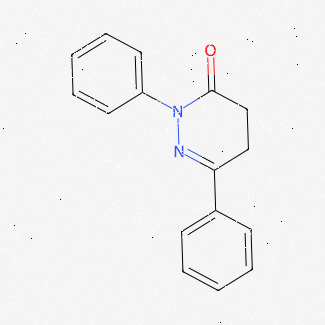 O=C1CCC(c2ccccc2)=NN1c1ccccc1